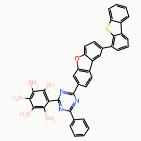 Bc1c(B)c(B)c(-c2nc(-c3ccccc3)nc(-c3ccc4c(c3)oc3ccc(-c5cccc6c5sc5ccccc56)cc34)n2)c(B)c1B